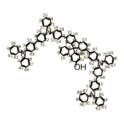 Oc1ccc(C2(c3ccccc3)C3=C(C=CC(c4ccc(N(c5ccccc5)c5ccc(-c6ccc(N(c7ccccc7)c7ccccc7)cc6)cc5)cc4)C3)C3C=CC(c4ccc(N(C5=CC=CCC5)C5=CCC(c6ccc(N(c7ccccc7)C7C=CC=CC7)cc6)CC5)cc4)=CC32)cc1